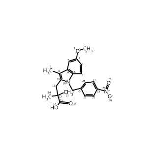 COc1ccc2c(c1)c(C)c(CC(C)(C)C(=O)O)n2Cc1ccc([N+](=O)[O-])cc1